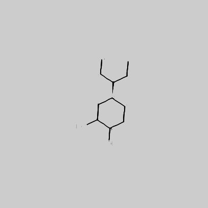 CCC(CC)[C@H]1CCC(O)C(O)C1